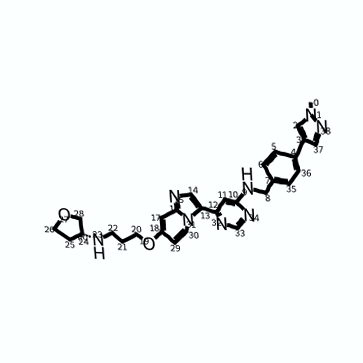 Cn1cc(-c2ccc(CNc3cc(-c4cnc5cc(OCCCN[C@@H]6CCOC6)ccn45)ncn3)cc2)cn1